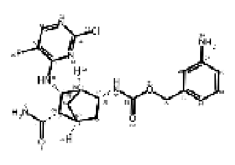 NC(=O)[C@H]1[C@H]2C[C@@H]([C@H]1Nc1nc(Cl)ncc1F)[C@H](NC(=O)OCc1cccc(N)c1)C2